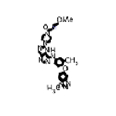 COC/C=C/C(=O)N1CCN(c2ncc3ncnc(Nc4ccc(Oc5ccc6c(c5)nnn6C)c(C)c4)c3n2)CC1